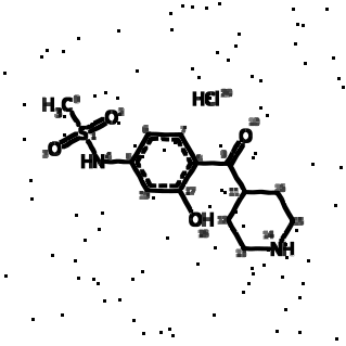 CS(=O)(=O)Nc1ccc(C(=O)C2CCNCC2)c(O)c1.Cl